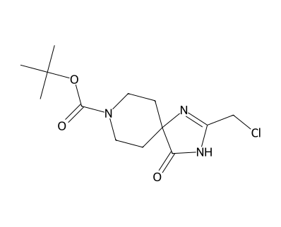 CC(C)(C)OC(=O)N1CCC2(CC1)N=C(CCl)NC2=O